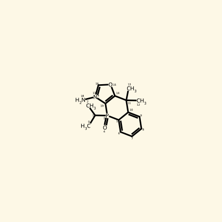 CC(C)P1(=O)c2ccccc2C(C)(C)c2oc[n+](N)c21